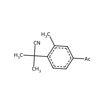 CC(=O)c1ccc(C(C)(C)C#N)c(C)c1